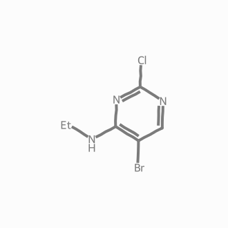 CCNc1nc(Cl)ncc1Br